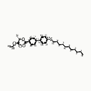 CCCCCCCCCCCSc1ccc(-c2ccc(C(=O)O[C@@H](C)C(=O)OCC)cc2)cc1